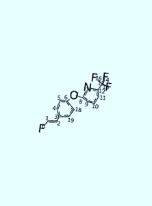 FC=Cc1ccc(Oc2cccc(C(F)(F)F)n2)cc1